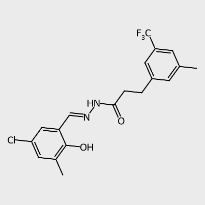 Cc1cc(CCC(=O)N/N=C/c2cc(Cl)cc(C)c2O)cc(C(F)(F)F)c1